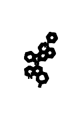 CC1=CC=Cc2cc(-n3c4c(c5c6c7c(cccc7cc53)N(c3ccccc3)C=C6)C=CCC4)c3cccnc3c2C1